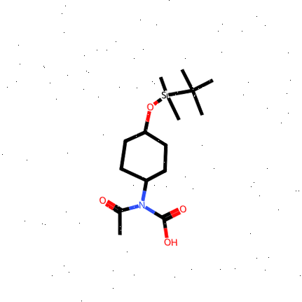 CC(=O)N(C(=O)O)C1CCC(O[Si](C)(C)C(C)(C)C)CC1